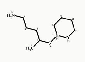 CC(CCCN)S[SiH]1CCCCO1